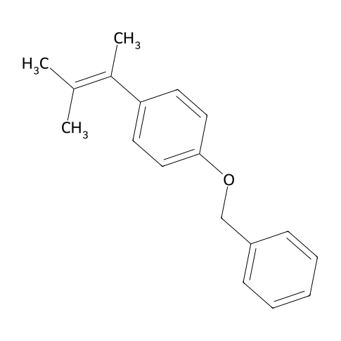 CC(C)=C(C)c1ccc(OCc2ccccc2)cc1